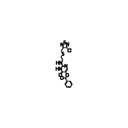 O=C(Oc1cnc(NCCSCc2nsnc2Cl)[nH]c1=O)c1ccccc1